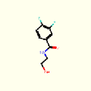 O=C(NCCO)c1ccc(F)c(F)c1